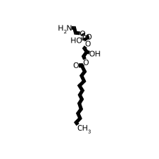 CCCCCCCCCCCCCC(=O)OCC(O)COP(=O)(O)OCCN